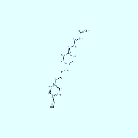 N#Cc1ccc(CCCC[C@H]2CC[C@H](CCC=CC=O)CC2)cc1